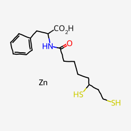 O=C(CCCCC(S)CCS)NC(Cc1ccccc1)C(=O)O.[Zn]